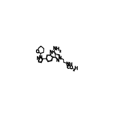 Nc1nc2cc(-c3ccnn3C3CCCCO3)ccc2c2nn(CCNC(=O)O)cc12